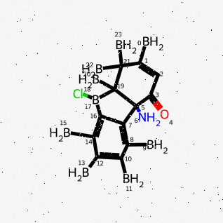 BC1=CC(=O)C2(N)c3c(B)c(B)c(B)c(B)c3B(Cl)C2(B)C1(B)B